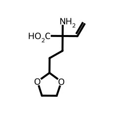 C=CC(N)(CCC1OCCO1)C(=O)O